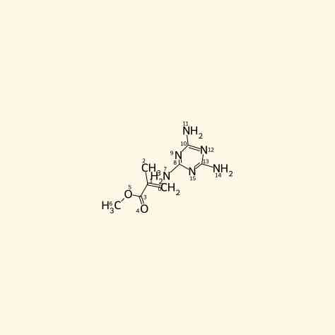 C=C(C)C(=O)OC.Nc1nc(N)nc(N)n1